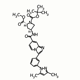 COC(=O)[C@H]1C[C@H](NC(=O)c2ccn3c(-c4cccc(-n5nc(C)cc5C)c4)cnc3c2)CN1C(=O)OC(C)(C)C